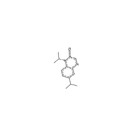 CC(C)c1ccc2c(c1)ncc(=O)n2C(C)C